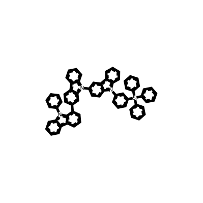 c1ccc(-n2c3ccccc3c3cccc(-c4ccc5c6ccccc6n(-c6ccc7c(c6)c6ccccc6n7-c6cccc([Si](c7ccccc7)(c7ccccc7)c7ccccc7)c6)c5c4)c32)cc1